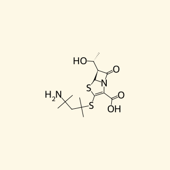 C[C@@H](O)[C@H]1C(=O)N2C(C(=O)O)=C(SC(C)(C)CC(C)(C)N)SC12